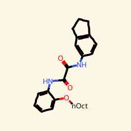 CCCCCCCCOc1ccccc1NC(=O)C(=O)Nc1ccc2c(c1)CCC2